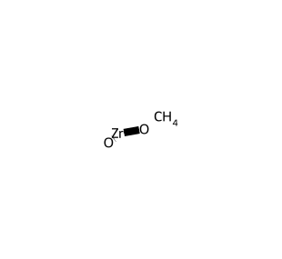 C.[O]=[Zr]=[O]